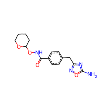 Nc1nc(Cc2ccc(C(=O)NOC3CCCCO3)cc2)no1